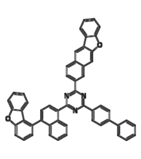 c1ccc(-c2ccc(-c3nc(-c4ccc5cc6c(cc5c4)oc4ccccc46)nc(-c4ccc(-c5cccc6oc7ccccc7c56)c5ccccc45)n3)cc2)cc1